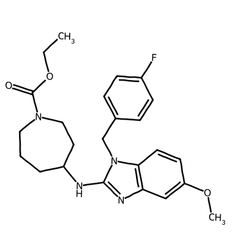 CCOC(=O)N1CCCC(Nc2nc3cc(OC)ccc3n2Cc2ccc(F)cc2)CC1